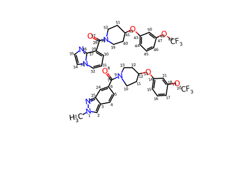 Cn1cc2ccc(C(=O)N3CCC(Oc4cccc(OC(F)(F)F)c4)CC3)cc2n1.O=C(c1cccn2ccnc12)N1CCC(Oc2cccc(OC(F)(F)F)c2)CC1